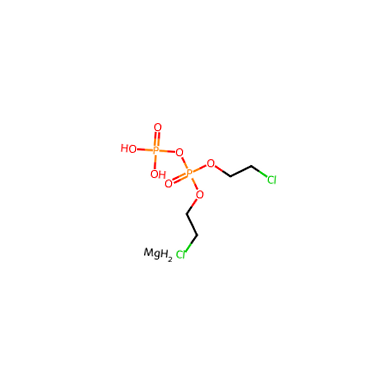 O=P(O)(O)OP(=O)(OCCCl)OCCCl.[MgH2]